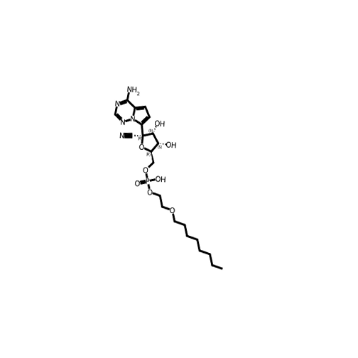 CCCCCCCCOCCOP(=O)(O)OC[C@H]1O[C@@](C#N)(c2ccc3c(N)ncnn23)[C@H](O)[C@@H]1O